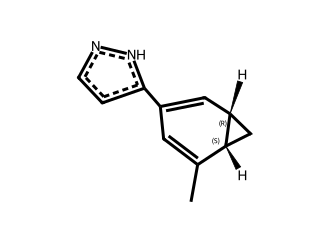 CC1=CC(c2ccn[nH]2)=C[C@@H]2C[C@H]12